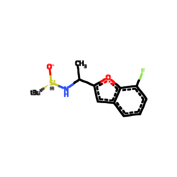 CC(N[S@@+]([O-])C(C)(C)C)c1cc2cccc(F)c2o1